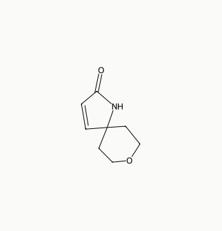 O=C1C=CC2(CCOCC2)N1